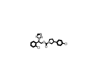 O=C(OCC(c1ccccc1Cl)n1ncnn1)N1CCC(c2ccc(Cl)cc2)C1